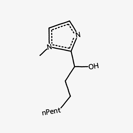 CCCCCCCC(O)c1nccn1C